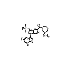 NC1CCCCN(C(=O)c2cc3c(cn2)c(-c2cnc4c(F)cc(F)cn24)nn3CC(F)(F)F)C1